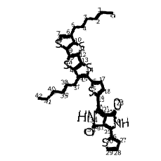 CCCCCCc1csc2c1sc1c3sc(-c4ccc(C5=C6C(=O)NC(c7cccs7)=C6C(=O)N5)s4)c(CCCCCC)c3sc21